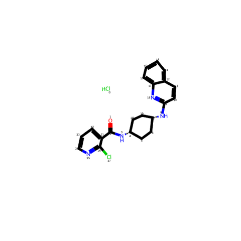 Cl.O=C(N[C@H]1CC[C@@H](Nc2ccc3ccccc3n2)CC1)c1cccnc1Cl